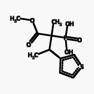 COC(=O)C(C)(C(C)c1ccsc1)P(=O)(O)O